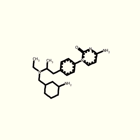 CCN(CC1CCCC(N)C1)C(C)Cc1ccc(-n2ccc(N)nc2=O)cc1